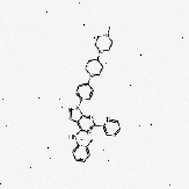 Cc1ccccc1Nc1nc(-c2ccccn2)nc2c1cnn2-c1ccc(N2CCC(N3CCN(C)CC3)CC2)cc1